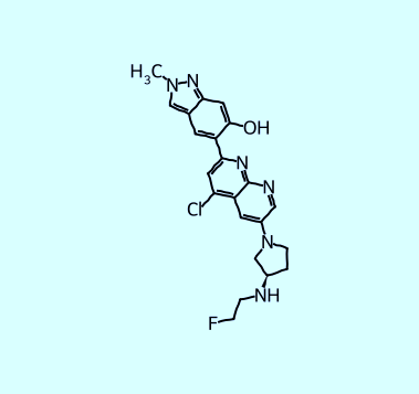 Cn1cc2cc(-c3cc(Cl)c4cc(N5CC[C@@H](NCCF)C5)cnc4n3)c(O)cc2n1